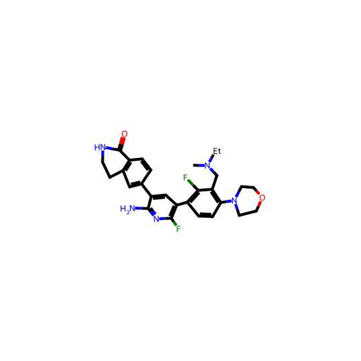 CCN(C)Cc1c(N2CCOCC2)ccc(-c2cc(-c3ccc4c(c3)CCNC4=O)c(N)nc2F)c1F